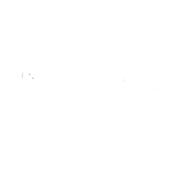 CCCCOc1[c]ccc(CN)c1